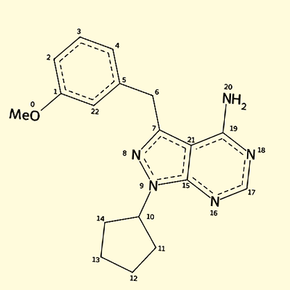 COc1cccc(Cc2nn(C3CCCC3)c3ncnc(N)c23)c1